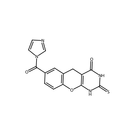 O=C(c1ccc2c(c1)Cc1c([nH]c(=S)[nH]c1=O)O2)n1ccnc1